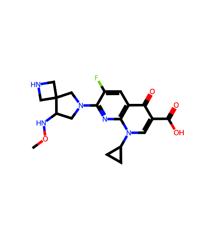 CONC1CN(c2nc3c(cc2F)c(=O)c(C(=O)O)cn3C2CC2)CC12CNC2